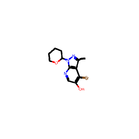 Cc1nn(C2CCCCO2)c2ncc(O)c(Br)c12